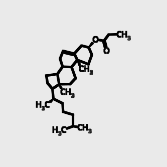 CCC(=O)O[C@H]1CC[C@@]2(C)C(=CCC3C4CCC([C@H](C)CCCC(C)C)[C@@]4(C)CCC32)C1